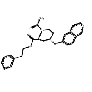 NC(=O)N1CC[C@H](Oc2ccc3cnccc3c2)C[C@H]1C(=O)OCCc1ccccc1